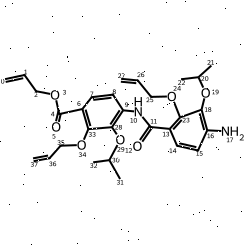 C=CCOC(=O)c1ccc(NC(=O)c2ccc(N)c(OC(C)C)c2OCC=C)c(OC(C)C)c1OCC=C